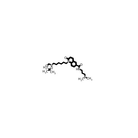 CN(C)CCCNC(=O)c1ccc2c(ccc(=O)n2CCCCCCN(C=O)OC(C)(C)C)c1